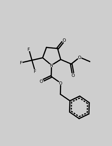 COC(=O)C1C(=O)CC(C(F)(F)F)N1C(=O)OCc1ccccc1